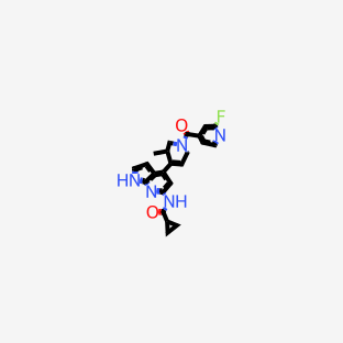 CC1CN(C(=O)c2ccnc(F)c2)CC=C1c1cc(NC(=O)C2CC2)nc2[nH]ccc12